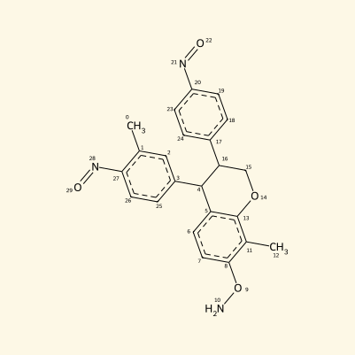 Cc1cc(C2c3ccc(ON)c(C)c3OCC2c2ccc(N=O)cc2)ccc1N=O